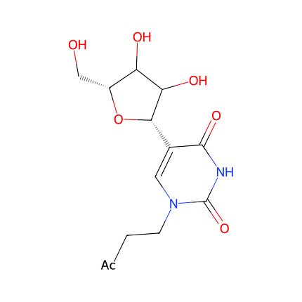 CC(=O)CCn1cc([C@@H]2O[C@H](CO)C(O)C2O)c(=O)[nH]c1=O